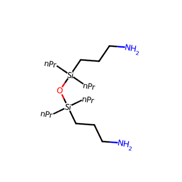 CCC[Si](CCC)(CCCN)O[Si](CCC)(CCC)CCCN